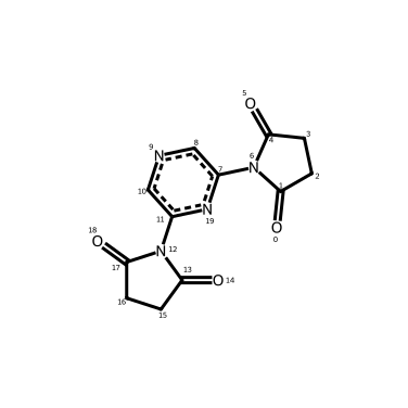 O=C1CCC(=O)N1c1cncc(N2C(=O)CCC2=O)n1